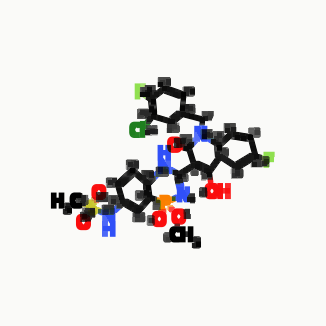 COP1(=O)N=C(c2c(O)c3cc(F)ccc3n(Cc3ccc(F)c(Cl)c3)c2=O)Nc2ccc(NS(C)(=O)=O)cc21